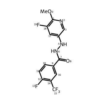 COc1ncc(NNC(=O)c2ccc(F)c(C(F)(F)F)c2)cc1F